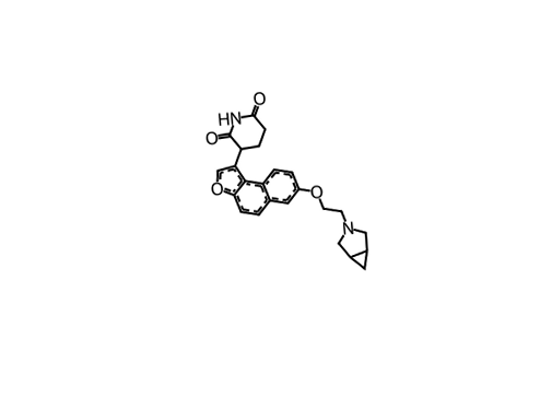 O=C1CCC(c2coc3ccc4cc(OCCN5CC6CC6C5)ccc4c23)C(=O)N1